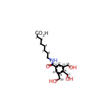 O=C(O)CCCCCCCNC(=O)c1cc(CO)c(CO)c(CO)c1